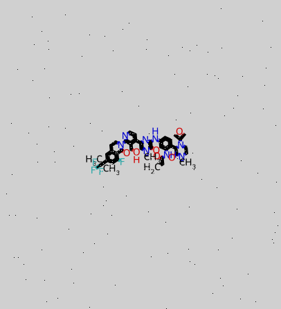 C=CC(=O)Nc1cc(Nc2nc(-c3ccnc(N4CCc5cc(C(C)(C)C(F)(F)F)cc(F)c5C4=O)c3CO)cn(C)c2=O)ccc1C1C(=O)N(C)CCN1C1COC1